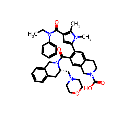 CCN(C(=O)c1cc(-c2cc3c(cc2C(=O)N2Cc4ccccc4C[C@H]2CN2CCOCC2)CN(C(=O)O)CC3)n(C)c1C)c1ccccc1